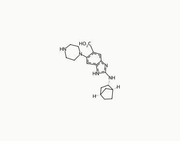 O=C(O)c1cc2nc(N[C@H]3C[C@@H]4CC[C@H]3C4)[nH]c2cc1N1CCNCC1